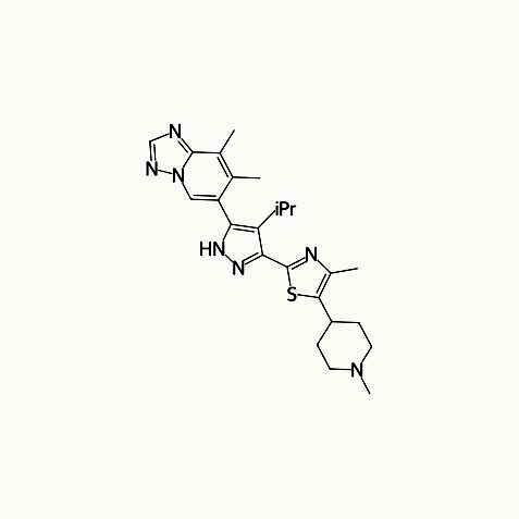 Cc1nc(-c2n[nH]c(-c3cn4ncnc4c(C)c3C)c2C(C)C)sc1C1CCN(C)CC1